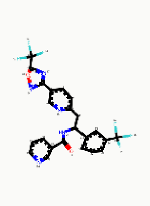 O=C(NC(Cc1ccc(-c2noc(C(F)(F)F)n2)cn1)c1cccc(C(F)(F)F)c1)c1cccnc1